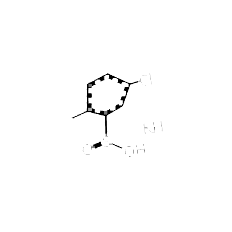 Cc1ccc(Cl)cc1S(=O)O.[KH]